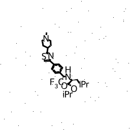 CC(C)C[C@H](N[C@@H](c1ccc(-c2csc(C3CCN(C)CC3)n2)cc1)C(F)(F)F)C(=O)OC(C)C